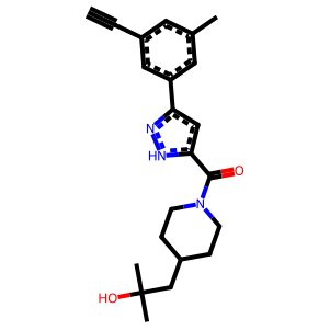 C#Cc1cc(C)cc(-c2cc(C(=O)N3CCC(CC(C)(C)O)CC3)[nH]n2)c1